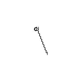 ICCCCCCCCCCCCCCCCc1ccccn1